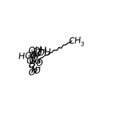 CCCCCCCCCCCCCCCC(=O)[AsH]c1cc([N+](=O)[O-])ccc1O[C@@H]1O[C@H](CO)[C@@H](O)[C@H](O)[C@H]1O